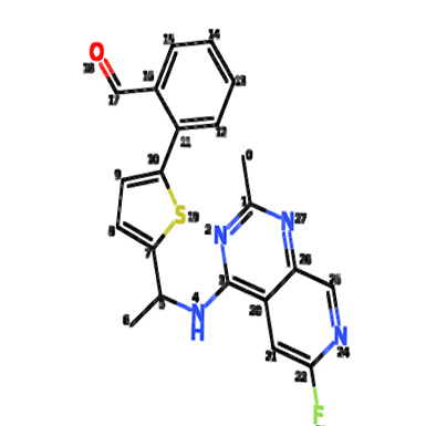 Cc1nc(NC(C)c2ccc(-c3ccccc3C=O)s2)c2cc(F)ncc2n1